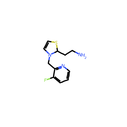 NCCC1SC=CN1Cc1ncccc1F